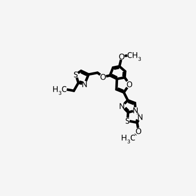 CCc1nc(COc2cc(OC)cc3oc(-c4cn5nc(OC)sc5n4)cc23)cs1